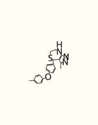 Cc1ccc(Oc2ccc(C3SCCNc4c3c(C)nn4C)cc2)cc1